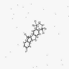 Cc1ccc2c(c1)c1c(n2C)-c2cc3c(cc2C1)C(C)(C)CCC3(C)C